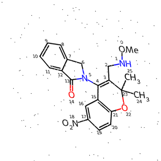 CONCC1=C(N2Cc3ccccc3C2=O)c2cc([N+](=O)[O-])ccc2OC1(C)C